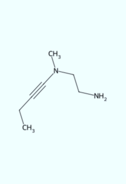 CCC#CN(C)CCN